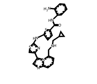 Nc1ccccc1NC(=O)c1ccc(Nc2nc(-c3cnc4cccc(CNCC5CC5)n34)cs2)s1